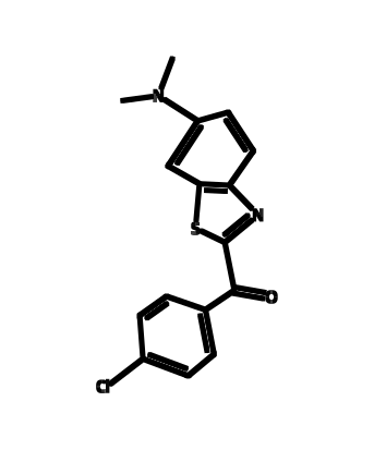 CN(C)c1ccc2nc(C(=O)c3ccc(Cl)cc3)sc2c1